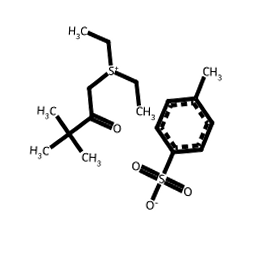 CC[S+](CC)CC(=O)C(C)(C)C.Cc1ccc(S(=O)(=O)[O-])cc1